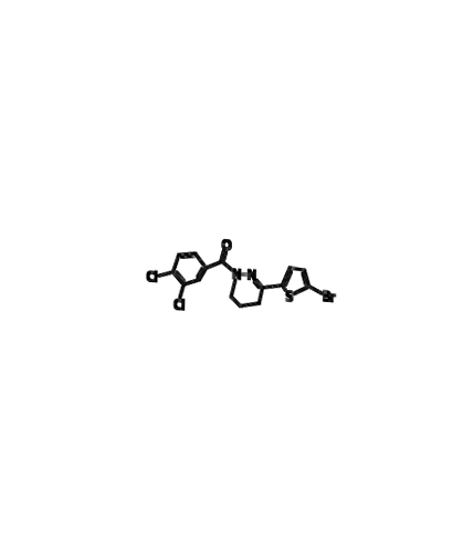 O=C(c1ccc(Cl)c(Cl)c1)N1CCCC(c2ccc(Br)s2)=N1